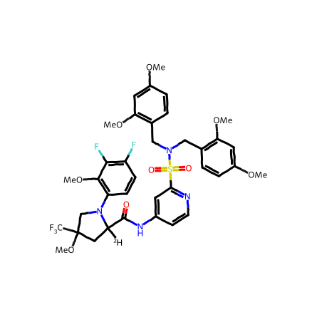 [2H]C1(C(=O)Nc2ccnc(S(=O)(=O)N(Cc3ccc(OC)cc3OC)Cc3ccc(OC)cc3OC)c2)CC(OC)(C(F)(F)F)CN1c1ccc(F)c(F)c1OC